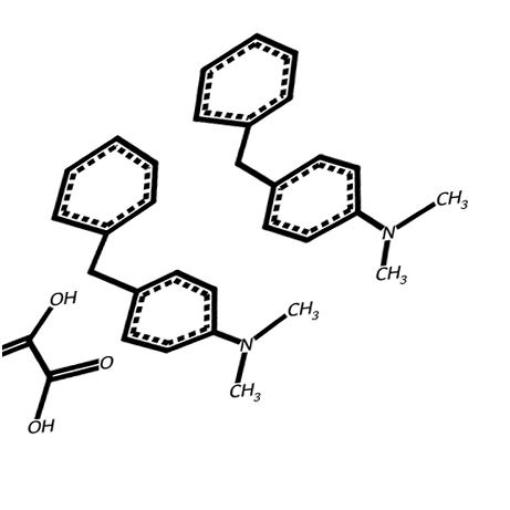 CN(C)c1ccc(Cc2ccccc2)cc1.CN(C)c1ccc(Cc2ccccc2)cc1.O=C(O)C(=O)O